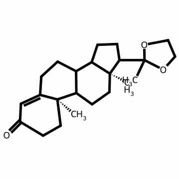 CC1(C2CCC3C4CCC5=CC(=O)CC[C@]5(C)C4CC[C@@]32C)OCCO1